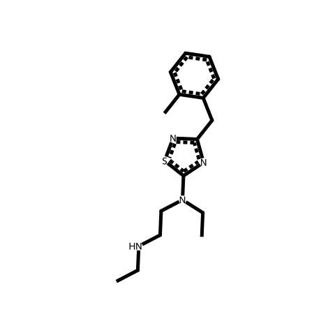 CCNCCN(CC)c1nc(Cc2ccccc2C)ns1